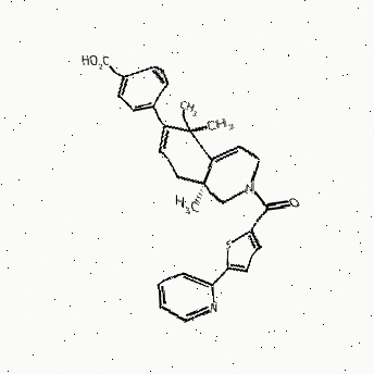 CC1(C)C(c2ccc(C(=O)O)cc2)=CC[C@]2(C)CN(C(=O)c3ccc(-c4ccccn4)s3)CC=C12